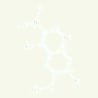 COc1cc2c(O)c([N+](=O)[O-])cnc2cc1Br